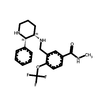 CNC(=O)c1ccc(OC(F)(F)F)c(CN[C@H]2CCCN[C@H]2c2ccccc2)c1